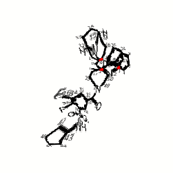 Cc1nc2ccccc2n1C1C[C@H]2CC[C@@H](C1)N2CCC1(c2ccccc2)CCN(C(=O)c2cc(F)c(F)c(S(=O)(=O)NC3CCCC3)c2)CC1